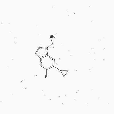 CC(C)(C)Cn1ccc2cc(F)c(C3CC3)cc21